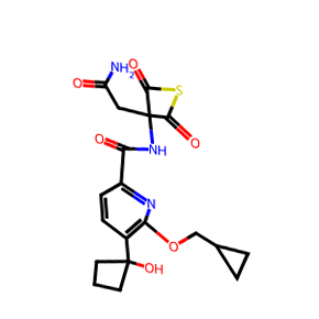 NC(=O)CC1(NC(=O)c2ccc(C3(O)CCC3)c(OCC3CC3)n2)C(=O)SC1=O